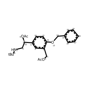 CC(=O)OCc1cc([C@@H](CNC(C)(C)C)OC(C)=O)ccc1OCc1ccccc1